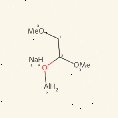 COCC(OC)[O][AlH2].[NaH]